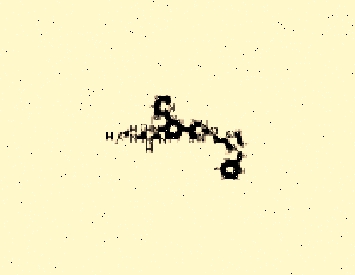 CCNC(=O)Nc1nc2cc(-c3cnc(OCC4CN(Cc5ccccc5)CCO4)nc3)cc(-c3ncccc3F)c2[nH]1